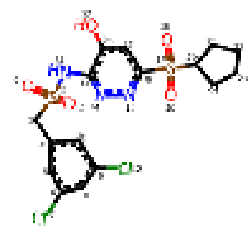 O=S(=O)(Cc1cc(Cl)cc(Cl)c1)Nc1nnc(S(=O)(=O)C2CCCC2)cc1O